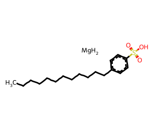 CCCCCCCCCCCCc1ccc(S(=O)(=O)O)cc1.[MgH2]